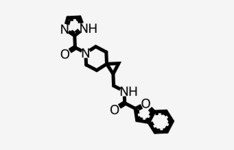 O=C(NCC1CC12CCN(C(=O)c1ncc[nH]1)CC2)c1cc2ccccc2o1